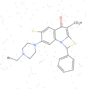 CC(=O)CN1CCN(c2cc3c(cc2F)c(=O)c(C(=O)O)c2n3C(c3ccccc3)S2)CC1